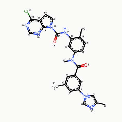 Cc1cn(-c2cc(C(=O)N(C)c3ccc(C)c(NC(=O)n4ccc5c(Cl)ncnc54)c3)cc(C(F)(F)F)c2)cn1